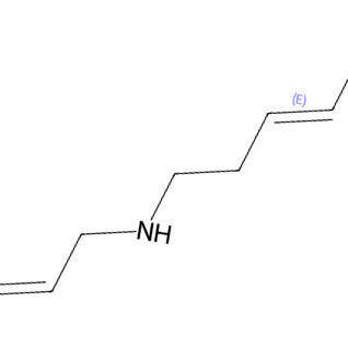 C=CCNCC/C=C/C